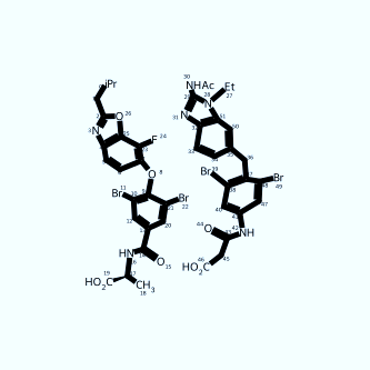 CC(C)Cc1nc2ccc(Oc3c(Br)cc(C(=O)N[C@@H](C)C(=O)O)cc3Br)c(F)c2o1.CCn1c(NC(C)=O)nc2ccc(Cc3c(Br)cc(NC(=O)CC(=O)O)cc3Br)cc21